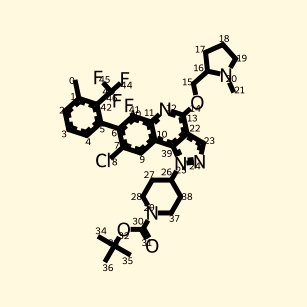 Cc1cccc(-c2c(Cl)cc3c(nc(OCC4CCCN4C)c4cnn(C5CCN(C(=O)OC(C)(C)C)CC5)c43)c2F)c1C(F)(F)F